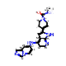 CC(C)(C)NC(=O)N1CC=C(c2cc3c(Nc4ccn5cncc5c4)ccnc3[nH]2)CC1